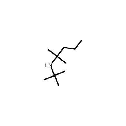 CCCC(C)(C)NC(C)(C)C